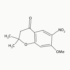 COc1cc2c(cc1[N+](=O)[O-])C(=O)CC(C)(C)O2